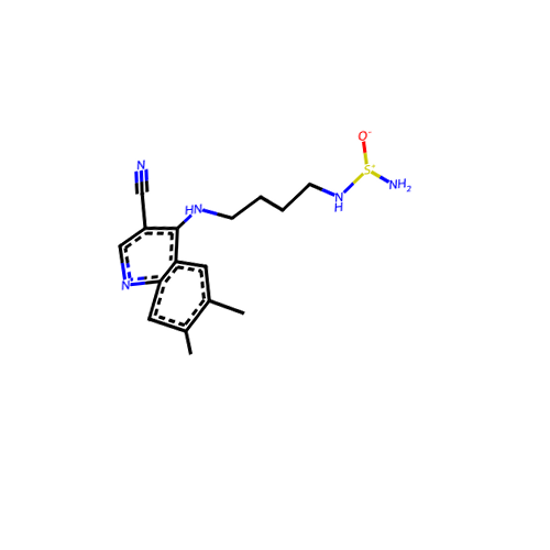 Cc1cc2ncc(C#N)c(NCCCCN[S+](N)[O-])c2cc1C